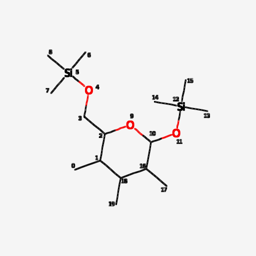 CC1C(CO[Si](C)(C)C)OC(O[Si](C)(C)C)C(C)C1C